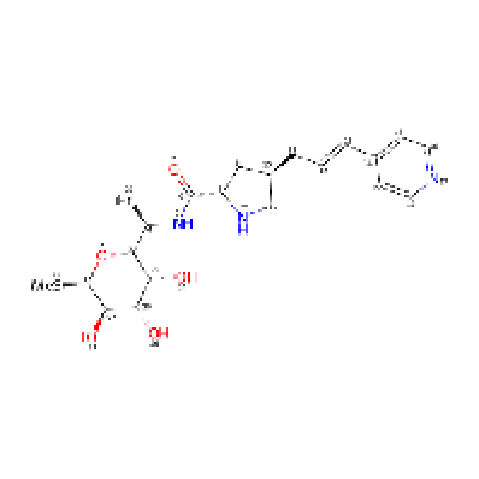 CS[C@H]1O[C@H]([C@H](NC(=O)[C@@H]2C[C@@H](C/C=C/c3ccncc3)CN2)C(C)C)[C@H](O)[C@H](O)[C@H]1O